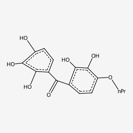 CCCOc1ccc(C(=O)c2ccc(O)c(O)c2O)c(O)c1O